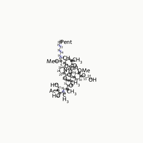 CCC[C@H](C)/C=C/C=C/C=C(\C)[C@H](C[C@@H]1CC[C@@H](C)C(=O)C(O)(C(=O)N2CCCC[C@H]2C(=O)O[C@@H](CC(=O)[C@H](C)/C=C(\C)[C@@H](O)[C@@H](CO)C(C)=O)[C@H](C)C[C@@H]2CC[C@@H](OCCO)[C@H](OC)C2)O1)OC